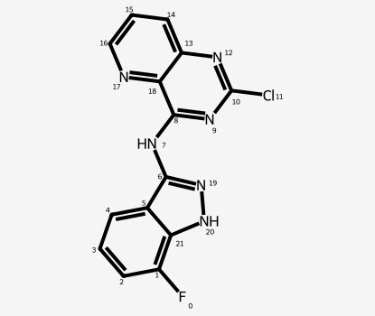 Fc1cccc2c(Nc3nc(Cl)nc4cccnc34)n[nH]c12